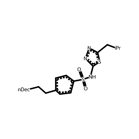 CCCCCCCCCCCCc1ccc(S(=O)(=O)Nc2nnc(CC(C)C)s2)cc1